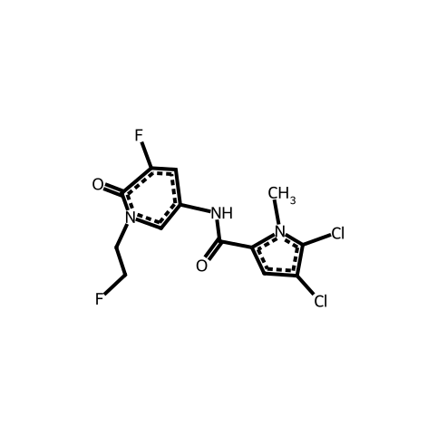 Cn1c(C(=O)Nc2cc(F)c(=O)n(CCF)c2)cc(Cl)c1Cl